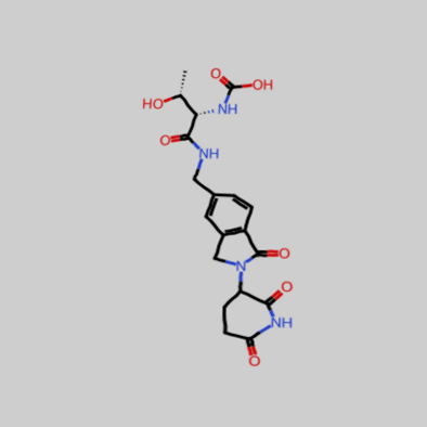 C[C@@H](O)[C@H](NC(=O)O)C(=O)NCc1ccc2c(c1)CN(C1CCC(=O)NC1=O)C2=O